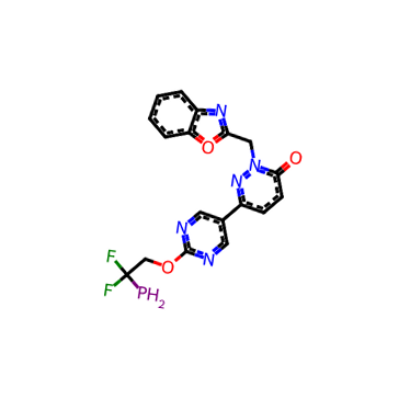 O=c1ccc(-c2cnc(OCC(F)(F)P)nc2)nn1Cc1nc2ccccc2o1